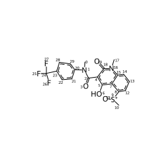 CN(C(=O)c1c(O)c2c([S+](C)[O-])cccc2n(C)c1=O)c1ccc(C(F)(F)F)cc1